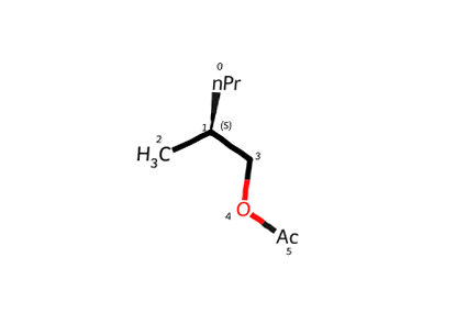 [CH2-][CH+]C[C@H](C)COC(C)=O